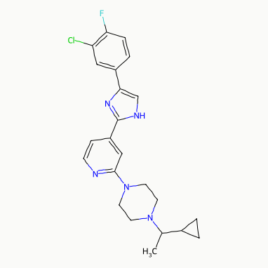 CC(C1CC1)N1CCN(c2cc(-c3nc(-c4ccc(F)c(Cl)c4)c[nH]3)ccn2)CC1